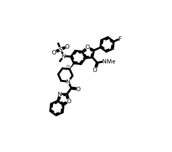 CNC(=O)c1c(-c2ccc(F)cc2)oc2cc(N(C)S(C)(=O)=O)c([C@@H]3CCCN(C(=O)c4nc5ccccc5o4)C3)cc12